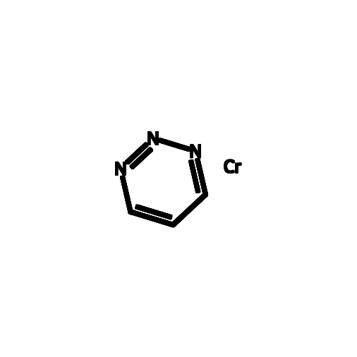 [Cr].c1cnnnc1